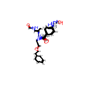 CC(CNC=O)N(CCOCCC1CCCCC1)C(=O)c1ccc(NO)cc1